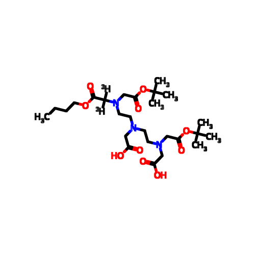 [3H]C([3H])(C(=O)OCCCC)N(CCN(CCN(CC(=O)O)CC(=O)OC(C)(C)C)CC(=O)O)CC(=O)OC(C)(C)C